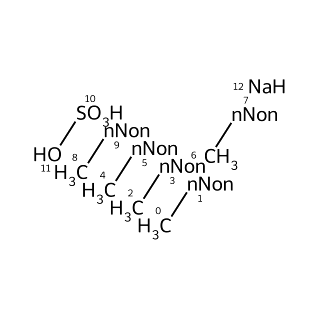 CCCCCCCCCC.CCCCCCCCCC.CCCCCCCCCC.CCCCCCCCCC.CCCCCCCCCC.O=S(=O)(O)O.[NaH]